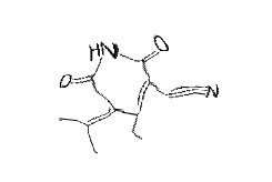 CC(C)=C1C(=O)NC(=O)C(C#N)=C1C